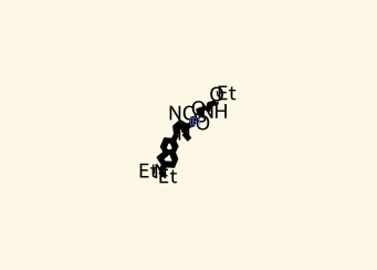 CCOCCNS(=O)(=O)/C(C#N)=C/c1ccc(-c2ccc3cc(N(CC)CC)ccc3c2)n1C